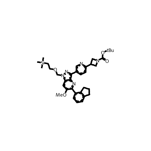 COc1cc2c(nc1-c1cccc3c1CCC3)c(-c1ccc(C3CN(C(=O)OC(C)(C)C)C3)nc1)nn2COCC[Si](C)(C)C